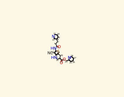 N#Cc1c(NC(=O)CCc2cccnc2)sc2c1NCC(C(=O)OCc1ccccn1)C2